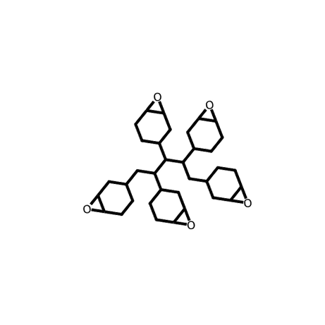 C1CC2OC2CC1CC(C1CCC2OC2C1)C(C1CCC2OC2C1)C(CC1CCC2OC2C1)C1CCC2OC2C1